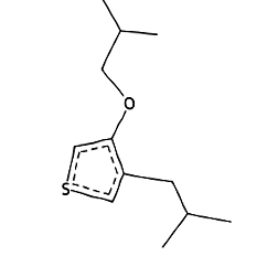 CC(C)COc1cscc1CC(C)C